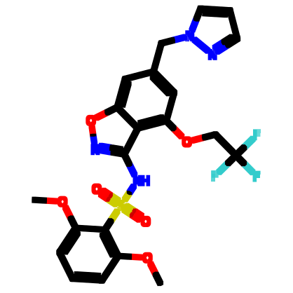 COc1cccc(OC)c1S(=O)(=O)Nc1noc2cc(Cn3cccn3)cc(OCC(F)(F)F)c12